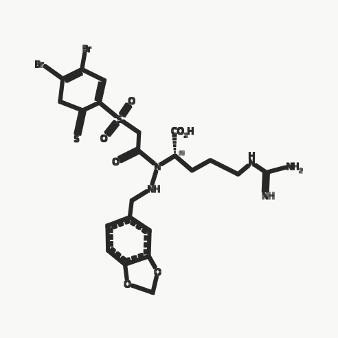 N=C(N)NCCC[C@@H](C(=O)O)N(NCc1ccc2c(c1)OCO2)C(=O)CS(=O)(=O)C1=CC(Br)=C(Br)CC1=S